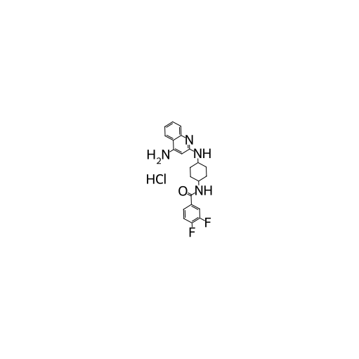 Cl.Nc1cc(NC2CCC(NC(=O)c3ccc(F)c(F)c3)CC2)nc2ccccc12